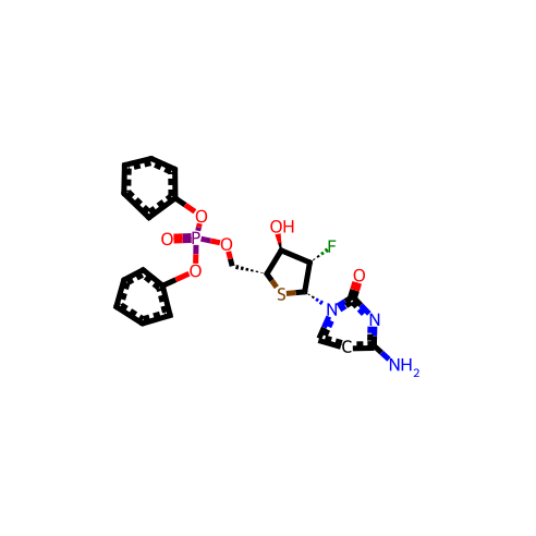 Nc1ccn([C@@H]2S[C@H](COP(=O)(Oc3ccccc3)Oc3ccccc3)[C@@H](O)[C@@H]2F)c(=O)n1